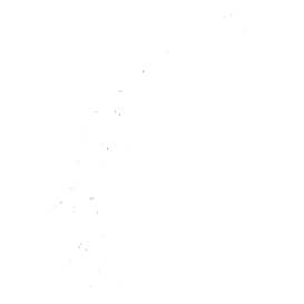 CCCCCCCC/C=C\CCCCCCCCN1CCN(CC[C@@H]2CC3(CCN(S(=O)(=O)CC(C)C)CC3)C(=O)O2)CC1